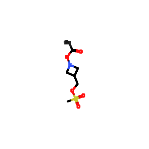 CC(C)(C)C(=O)ON1CC(COS(C)(=O)=O)C1